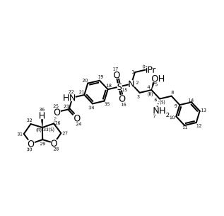 CC(C)CN(C[C@@H](O)[C@@H](N)Cc1ccccc1)S(=O)(=O)c1ccc(NC(=O)O[C@@H]2COC3OCC[C@@H]32)cc1